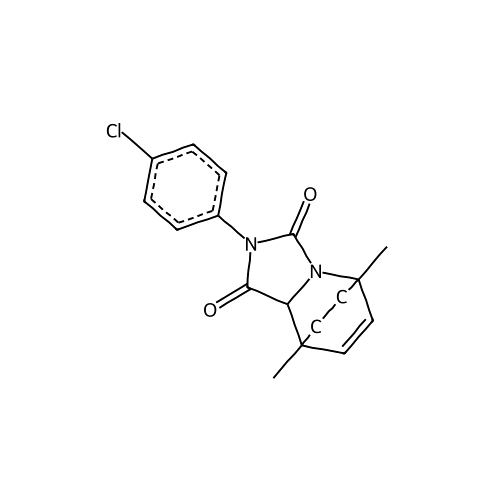 CC12C=CC(C)(CC1)N1C(=O)N(c3ccc(Cl)cc3)C(=O)C12